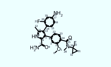 COc1cc(-c2c(C(N)=O)[nH]c(C)c2-c2ccc(N)cc2F)ccc1C(=O)N(C)C1(F)CC1